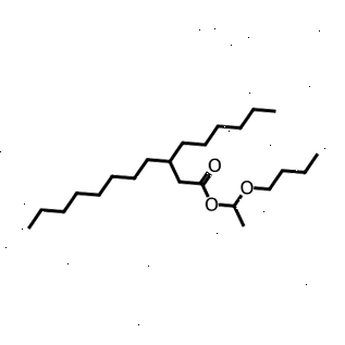 CCCCCCCCC(CCCCCC)CC(=O)OC(C)OCCCC